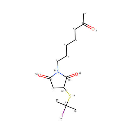 CC(=O)CCCCCN1C(=O)CC(SC(C)(C)I)C1=O